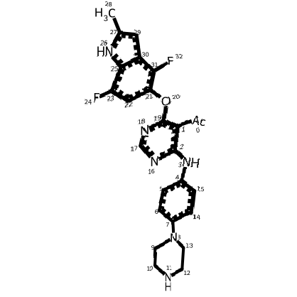 CC(=O)c1c(Nc2ccc(N3CCNCC3)cc2)ncnc1Oc1cc(F)c2[nH]c(C)cc2c1F